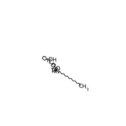 CCCCCCCCCCCCNS(=O)(=O)c1ccc(CN(O)C2CCCC2)s1